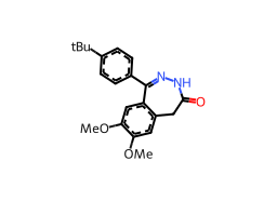 COc1cc2c(cc1OC)C(c1ccc(C(C)(C)C)cc1)=NNC(=O)C2